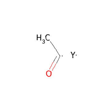 C[C]=O.[Y]